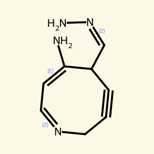 N/N=C\C1C#CC/N=C\C=C/1N